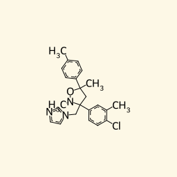 Cc1ccc(C2(C)CC(Cn3ccnc3)(c3ccc(Cl)c(C)c3)N(C)O2)cc1